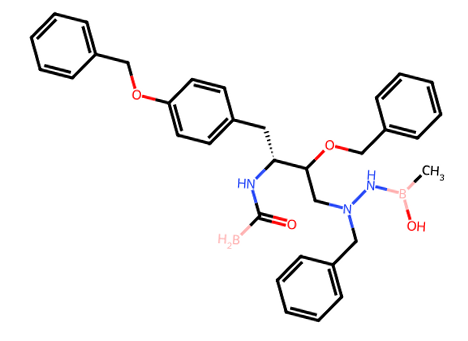 BC(=O)N[C@H](Cc1ccc(OCc2ccccc2)cc1)C(CN(Cc1ccccc1)NB(C)O)OCc1ccccc1